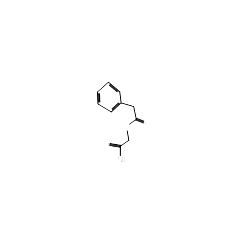 NC(=O)CSC(=O)Cc1ccccc1